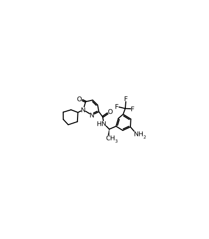 C[C@@H](NC(=O)c1ccc(=O)n(C2CCCCC2)n1)c1cc(N)cc(C(F)(F)F)c1